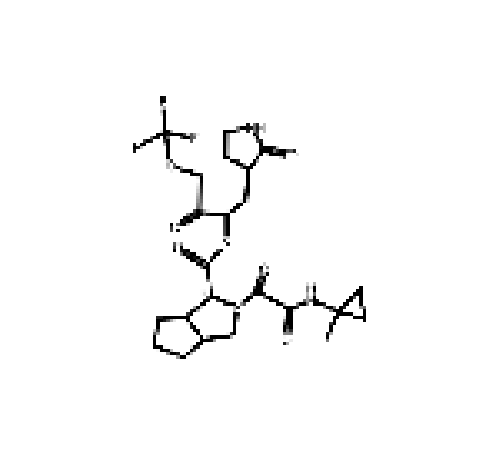 CC1(NC(=O)C(=O)N2CC3CCCC3[C@H]2C(=O)NC(CC2CCNC2=O)C(=O)COC(F)(F)F)CC1